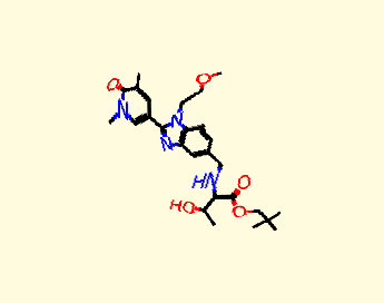 COCCn1c(-c2cc(C)c(=O)n(C)c2)nc2cc(CNC(C(=O)OCC(C)(C)C)C(C)O)ccc21